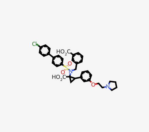 O=C(O)c1cccc(CN(C2(C(=O)O)CC2c2cccc(OCCN3CCCC3)c2)S(=O)(=O)c2ccc(-c3ccc(Cl)cc3)cc2)c1